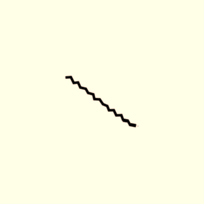 [CH]=CC=CCCCCCCCCCCCCCCCC